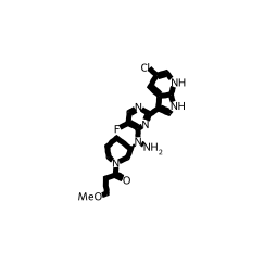 COCCC(=O)N1CCC[C@@H](N(N)c2nc(C3=CNC4NC=C(Cl)C=C34)ncc2F)C1